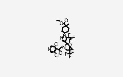 CCOC(=O)C1(C)CCC(n2ncc(C(=O)N(CC(=O)c3c(Cl)cncc3Cl)CC3(C(F)(F)F)CC3)c2C(F)(F)F)CC1